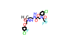 C=C(CCNC(=O)C1CN(C(=O)CC(F)(F)F)c2cc(Cl)ccc2O1)NC(=O)COc1ccc(Cl)c(F)c1